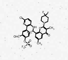 Cc1cc(C(C)Nc2ccc(Cl)nc2-c2ccc(OS(=O)(=O)C(F)(F)F)c(C=O)c2)c2oc(N3CCC(F)(F)CC3)c(C)c(=O)c2c1